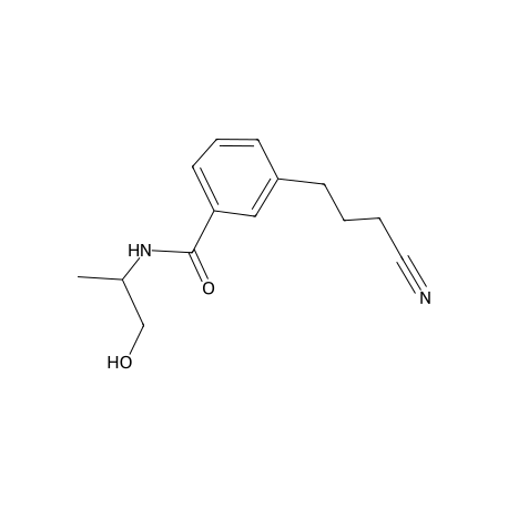 CC(CO)NC(=O)c1cccc(CCCC#N)c1